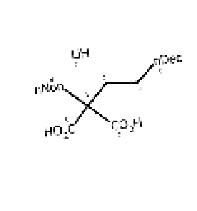 CCCCCCCCCCCCC(CCCCCCCCC)(C(=O)O)C(=O)O.[LiH]